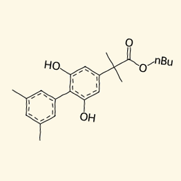 CCCCOC(=O)C(C)(C)c1cc(O)c(-c2cc(C)cc(C)c2)c(O)c1